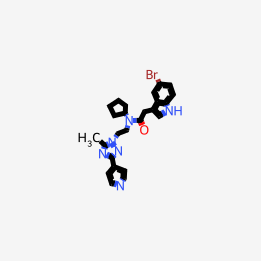 Cc1nc(-c2ccncc2)nn1CCN(C(=O)Cc1c[nH]c2ccc(Br)cc12)C1CCCC1